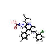 Cc1ccc(-c2c(/C=C/c3ccccc3Br)c(C)nc(CC(C)C)c2CNC(=O)O)cc1